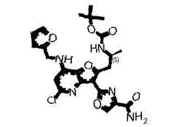 C[C@@H](Cc1oc2c(NCc3ccco3)cc(Cl)nc2c1-c1nc(C(N)=O)co1)NC(=O)OC(C)(C)C